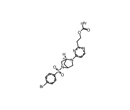 CCCC(=O)OCCc1nccc(N2CC3C[C@@H]2CN3S(=O)(=O)c2ccc(Br)cc2)n1